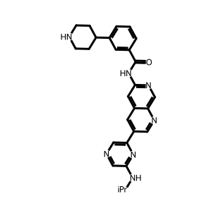 CC(C)Nc1cncc(-c2cnc3cnc(NC(=O)c4cccc(C5CCNCC5)c4)cc3c2)n1